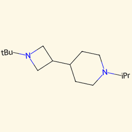 CC(C)N1CCC(C2CN(C(C)(C)C)C2)CC1